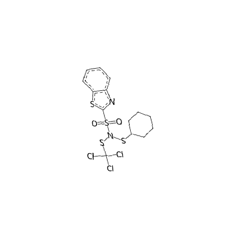 O=S(=O)(c1nc2ccccc2s1)N(SC1CCCCC1)SC(Cl)(Cl)Cl